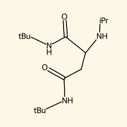 CC(C)NC(CC(=O)NC(C)(C)C)C(=O)NC(C)(C)C